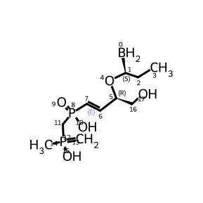 B[C@@H](CC)O[C@H](/C=C/P(=O)(O)CP(=C)(C)O)CO